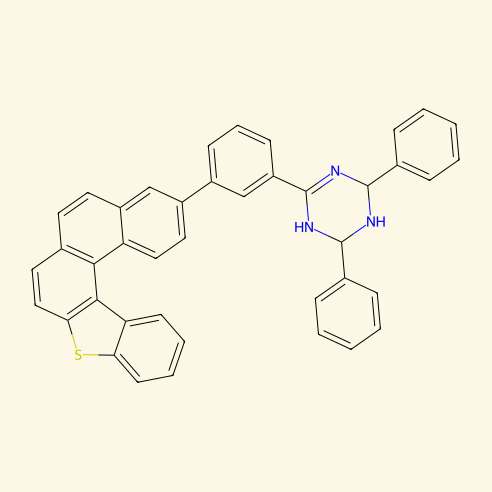 c1ccc(C2N=C(c3cccc(-c4ccc5c(ccc6ccc7sc8ccccc8c7c65)c4)c3)NC(c3ccccc3)N2)cc1